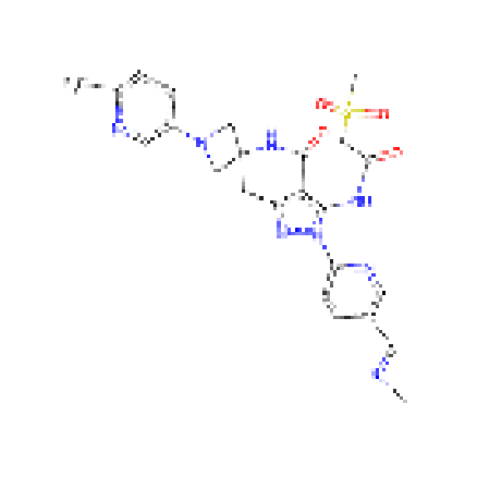 C/N=C/c1ccc(-n2nc3c(c2NC(=O)CS(C)(=O)=O)C(=O)NC2(C3)CN(c3ccc(C(F)(F)F)nc3)C2)nc1